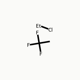 CC(F)(F)F.CCCl